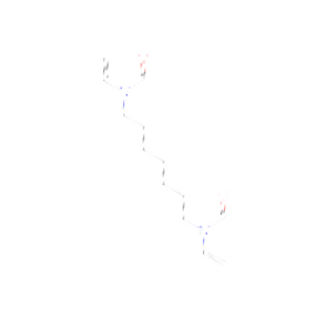 C=CN(C=O)CCCCCCCN(C=C)C=O